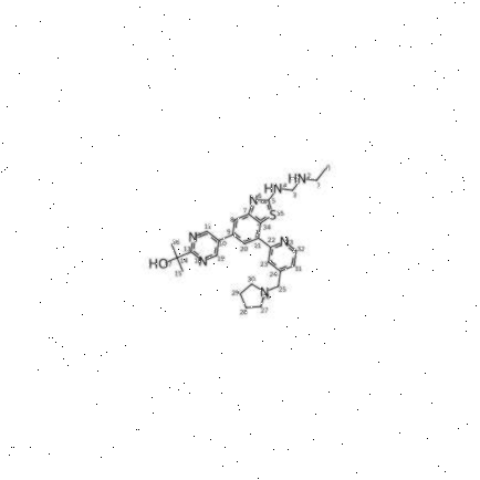 CCNCNc1nc2cc(-c3cnc(C(C)(C)O)nc3)cc(-c3cc(CN4CCCC4)ccn3)c2s1